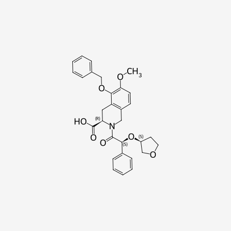 COc1ccc2c(c1OCc1ccccc1)C[C@H](C(=O)O)N(C(=O)[C@@H](O[C@H]1CCOC1)c1ccccc1)C2